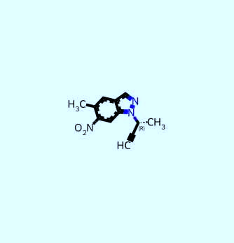 C#C[C@@H](C)n1ncc2cc(C)c([N+](=O)[O-])cc21